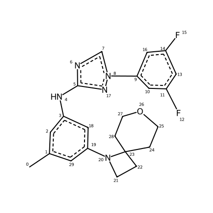 Cc1cc(Nc2ncn(-c3cc(F)cc(F)c3)n2)cc(N2CCC23CCOCC3)c1